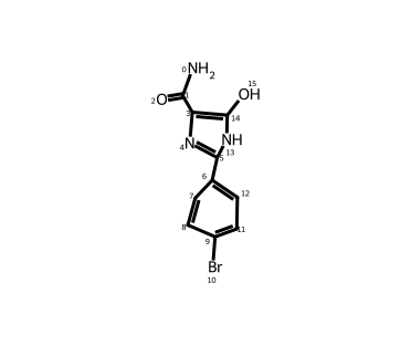 NC(=O)c1nc(-c2ccc(Br)cc2)[nH]c1O